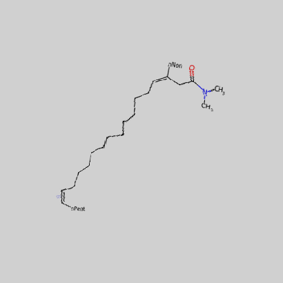 CCCCC/C=C\CCCCCCCCCCCC=C(CCCCCCCCC)CC(=O)N(C)C